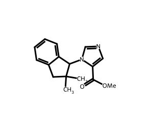 COC(=O)c1cncn1C1c2ccccc2CC1(C)C